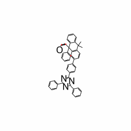 CC1(C)c2ccccc2C2(c3ccccc3Oc3ccccc32)c2cc(-c3ccc(-c4nc(-c5ccccc5)nc(-c5ccccc5)n4)cc3)ccc21